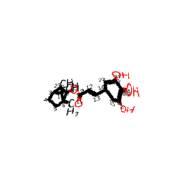 CC1(C)C2CCC1(C)C(OC(=O)C=Cc1cc(O)c(O)c(O)c1)C2